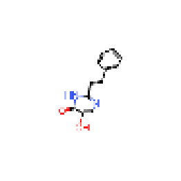 O=c1[nH]c(C=Cc2ccccc2)ncc1O